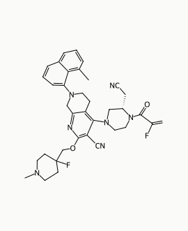 C=C(F)C(=O)N1CCN(c2c(C#N)c(OCC3(F)CCN(C)CC3)nc3c2CCN(c2cccc4cccc(C)c24)C3)C[C@@H]1CC#N